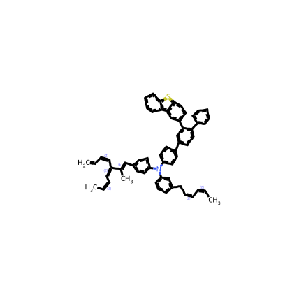 C=C\C=C/C(=C/C=C\C)C(/C)=C/c1ccc(N(c2ccc(-c3ccc(-c4ccccc4)c(-c4ccc5sc6ccccc6c5c4)c3)cc2)c2cccc(C/C=C\C=C/C)c2)cc1